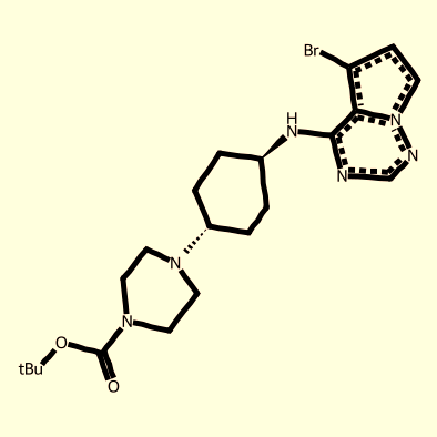 CC(C)(C)OC(=O)N1CCN([C@H]2CC[C@H](Nc3ncnn4ccc(Br)c34)CC2)CC1